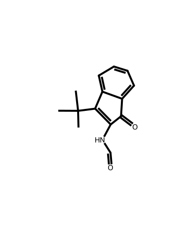 CC(C)(C)C1=C(NC=O)C(=O)c2ccccc21